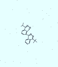 CC(C)c1nncc2c(-c3nnc(C(C)(C)C)c4ccccc34)cccc12